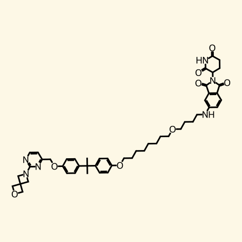 CC(C)(c1ccc(OCCCCCCCCOCCCCNc2ccc3c(c2)C(=O)N(C2CCC(=O)NC2=O)C3=O)cc1)c1ccc(OCc2ccnc(N3CC4(COC4)C3)n2)cc1